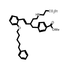 CCOC(=O)CCNCCC(/C=C/c1ccccc1OCCCCCc1ccccc1)Cc1ccc(C(=O)OC)cc1